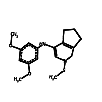 COc1cc(NC2=CN(SC)CC3=C2CCC3)cc(OC)c1